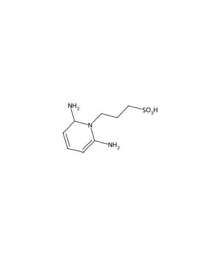 NC1=CC=CC(N)N1CCCS(=O)(=O)O